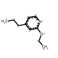 [CH2]CCc1ccnc(OCC)c1